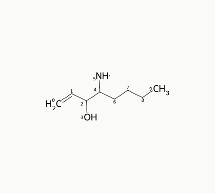 C=CC(O)C([NH])CCCC